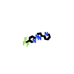 FC(F)(F)c1ccc(-n2ccc(-c3ccccn3)n2)nc1